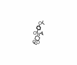 CC(C)Oc1ccc(C(=O)N(C2CC2)C2CCC3(CC2)OCCO3)cc1